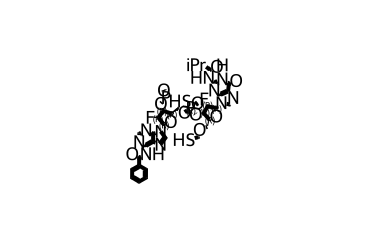 CC(C)C(=O)Nc1nc2c(ncn2[C@@H]2O[C@H](COCS)[C@@H](O[P@](=O)(S)OC[C@H]3O[C@@H](n4cnc5c(NC(=O)c6ccccc6)ncnc54)[C@H](F)[C@@H]3OP=O)[C@H]2F)c(=O)[nH]1